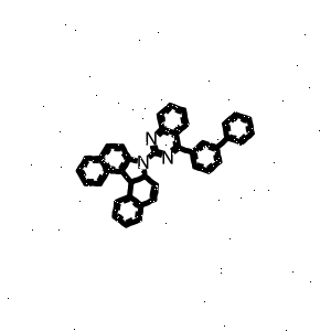 C1=CC2C(c3ccccc31)c1c(ccc3ccccc13)N2c1nc(-c2cccc(-c3ccccc3)c2)c2ccccc2n1